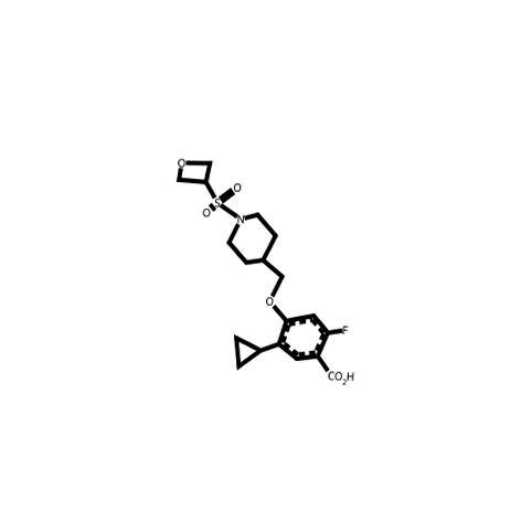 O=C(O)c1cc(C2CC2)c(OCC2CCN(S(=O)(=O)C3COC3)CC2)cc1F